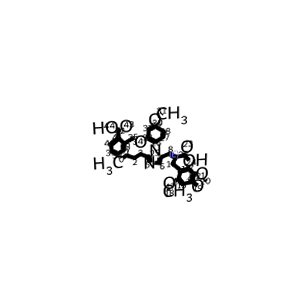 CCCCc1ncc(/C=C(\Cc2cc3c(cc2OC)OCO3)C(=O)O)n1-c1ccc(OC)cc1OCc1ccccc1C(=O)O